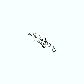 Cc1cc(Oc2ccccc2)ccc1N1C(=O)Nc2c(C(=O)N[C@H]3CCCC(NC(=O)CN(C)C)C3)sc3nccc1c23